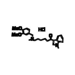 COc1ccc(CN(C)CCCCCC(=O)c2cn(C)c3ccccc23)cc1OC.Cl